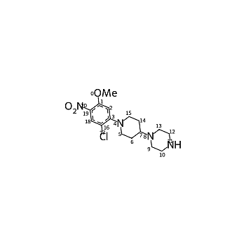 COc1cc(N2CCC(N3CCNCC3)CC2)c(Cl)cc1[N+](=O)[O-]